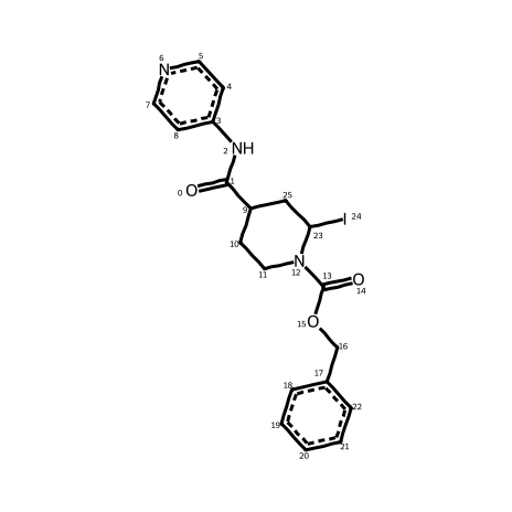 O=C(Nc1ccncc1)C1CCN(C(=O)OCc2ccccc2)C(I)C1